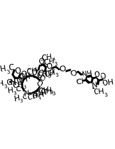 CC[C@H]1OC(=O)[C@H](C)[C@@H](O[C@H]2C[C@@](C)(OC)[C@@H](OC(=O)CCOCCOCCNc3cc4c(=O)c(C(=O)O)cn(CC)c4cc3Cl)[C@H](C)O2)[C@H](C)[C@@H](O[C@@H]2O[C@H](C)C[C@H](N(C)C)[C@H]2O)[C@](C)(O)C[C@@H](C)CN(C)[C@H](C)[C@@H](O)[C@]1(C)O